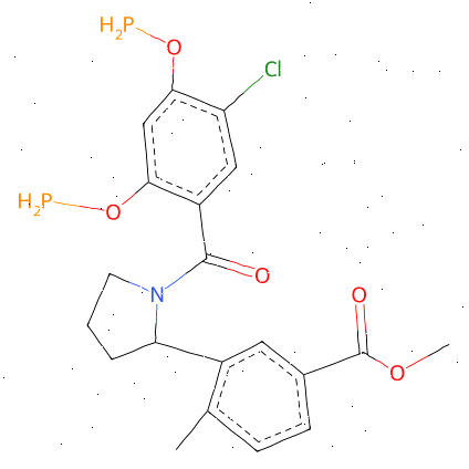 COC(=O)c1ccc(C)c(C2CCCN2C(=O)c2cc(Cl)c(OP)cc2OP)c1